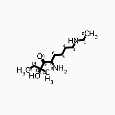 CCNCCCCC(N)C(=O)C(C)(O)CC